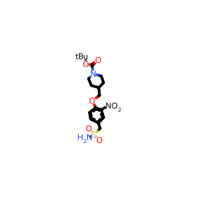 CC(C)(C)OC(=O)N1CCC(COc2ccc(CS(N)(=O)=O)cc2[N+](=O)[O-])CC1